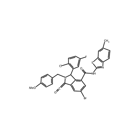 COc1ccc(CN2C(=C=O)c3cc(Br)cc(C(=O)Nc4nc5ccc(C)cc5s4)c3C2c2cc(F)ccc2Cl)cc1